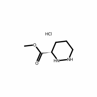 COC(=O)[C@@H]1CCCNN1.Cl